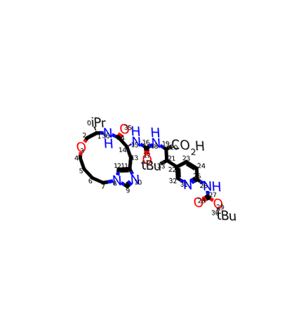 CC(C)[C@H]1COCCCCn2cnc(c2)C[C@@H](NC(=O)NC(C(=O)O)C(c2ccc(NC(=O)OC(C)(C)C)nc2)C(C)(C)C)C(=O)N1